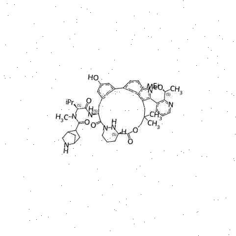 CCn1c(-c2cccnc2[C@H](C)OC)c2c3cc(ccc31)-c1cc(O)cc(c1)C[C@H](NC(=O)[C@H](C(C)C)N(C)C(=O)C1CC3CC1CN3)C(=O)N1CCC[C@H](N1)C(=O)OCC(C)(C)C2